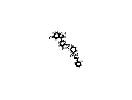 O=S(=O)(C=Cc1ccccc1)N1CCC[C@H](CNc2nc(-c3c[nH]c4ncc(Cl)cc34)ncc2F)C1